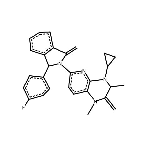 C=C1C(C)N(C2CC2)c2nc(N3C(=C)c4ccccc4C3c3ccc(F)cc3)ccc2N1C